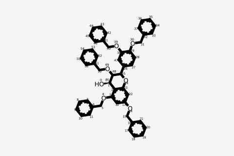 O[C@@H]1c2c(OCc3ccccc3)cc(OCc3ccccc3)cc2OC(c2ccc(OCc3ccccc3)c(OCc3ccccc3)c2)C1OCc1ccccc1